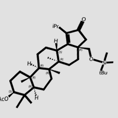 CC(=O)O[C@H]1CC[C@]2(C)[C@H]3CC[C@@H]4C5=C(C(C)C)C(=O)C[C@]5(CO[Si](C)(C)C(C)(C)C)CC[C@@]4(C)[C@]3(C)CC[C@H]2C1(C)C